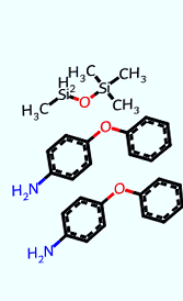 C[SiH2]O[Si](C)(C)C.Nc1ccc(Oc2ccccc2)cc1.Nc1ccc(Oc2ccccc2)cc1